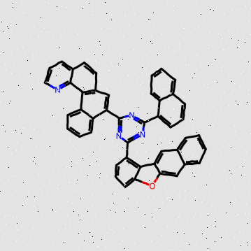 c1ccc2cc3c(cc2c1)oc1cccc(-c2nc(-c4cccc5ccccc45)nc(-c4cc5ccc6cccnc6c5c5ccccc45)n2)c13